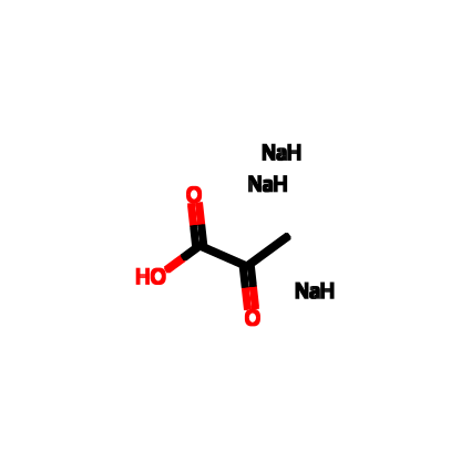 CC(=O)C(=O)O.[NaH].[NaH].[NaH]